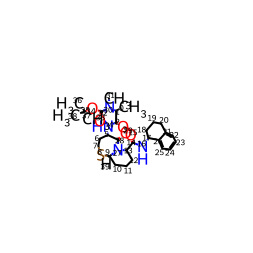 C[C@@H](C(=O)N[C@H]1CCS[C@H]2CCCC(C(=O)N[C@@H]3CCCc4ccccc43)N2C1=O)N(C)C(=O)OC(C)(C)C